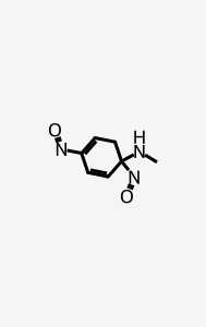 CNC1(N=O)C=CC(N=O)=CC1